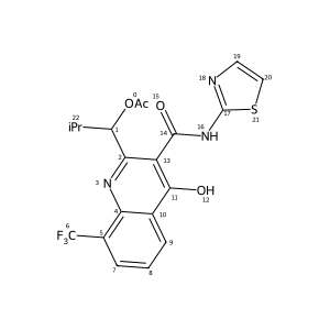 CC(=O)OC(c1nc2c(C(F)(F)F)cccc2c(O)c1C(=O)Nc1nccs1)C(C)C